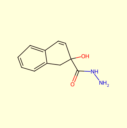 NNC(=O)C1(O)C=Cc2ccccc2C1